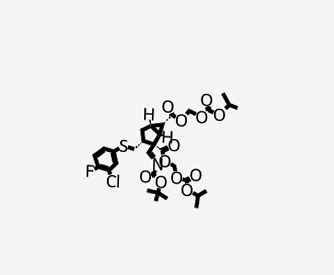 CC(C)OC(=O)OCOC(=O)[C@H]1[C@@H]2C[C@@H](CSc3ccc(F)c(Cl)c3)[C@@](/C=N/C(=O)OC(C)(C)C)(C(=O)OCOC(=O)OC(C)C)[C@@H]21